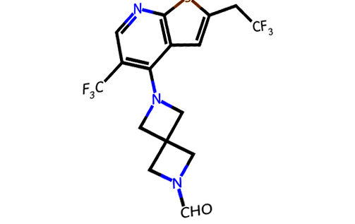 O=CN1CC2(C1)CN(c1c(C(F)(F)F)cnc3sc(CC(F)(F)F)cc13)C2